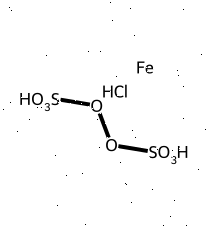 Cl.O=S(=O)(O)OOS(=O)(=O)O.[Fe]